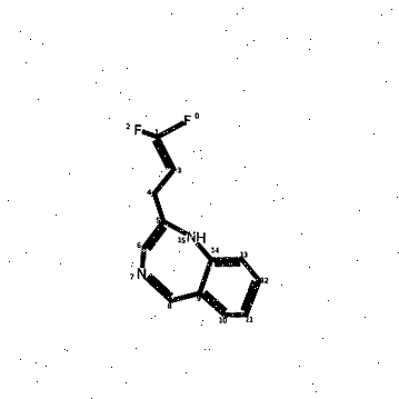 FC(F)=CCC1=CN=Cc2ccccc2N1